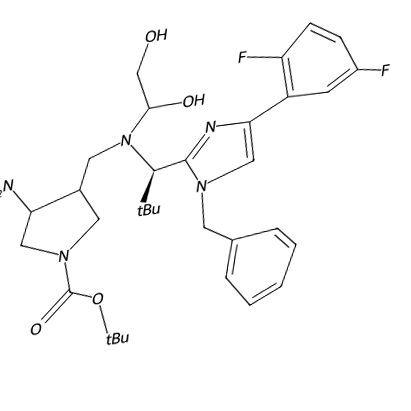 CC(C)(C)OC(=O)N1CC(N)C(CN(C(O)CO)[C@@H](c2nc(-c3cc(F)ccc3F)cn2Cc2ccccc2)C(C)(C)C)C1